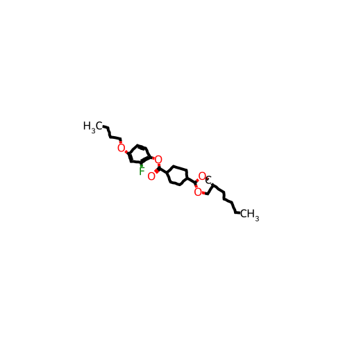 CCCCCC1COC(C2CCC(C(=O)Oc3ccc(OCCCC)cc3F)CC2)OC1